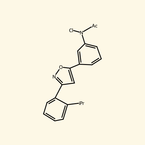 CC(=O)N(Cl)c1cccc(-c2cc(-c3ccccc3C(C)C)no2)c1